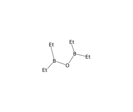 CCB(CC)OB(CC)CC